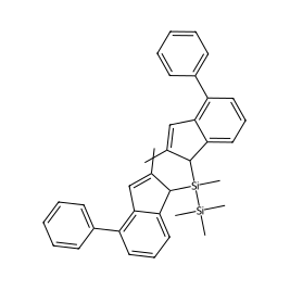 CC1=Cc2c(-c3ccccc3)cccc2C1[Si](C)(C1C(C)=Cc2c(-c3ccccc3)cccc21)[Si](C)(C)C